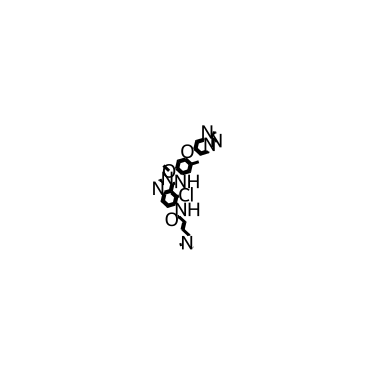 COc1cc(Oc2ccn3ncnc3c2)c(C)cc1Nc1ncnc2ccc(NC(=O)/C=C/CN(C)C)c(Cl)c12